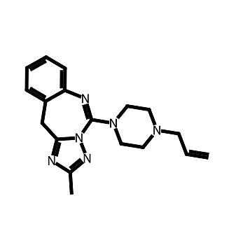 C=CCN1CCN(C2=Nc3ccccc3Cc3nc(C)nn32)CC1